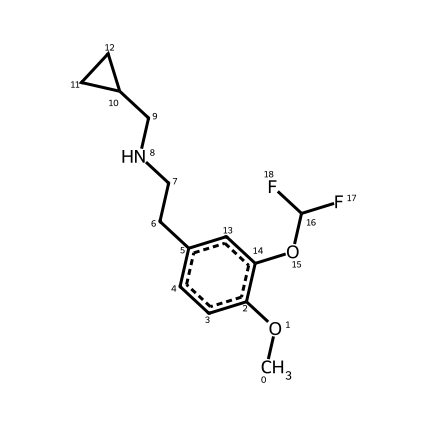 COc1ccc(CCNCC2CC2)cc1OC(F)F